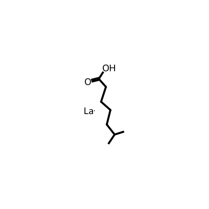 CC(C)CCCCC(=O)O.[La]